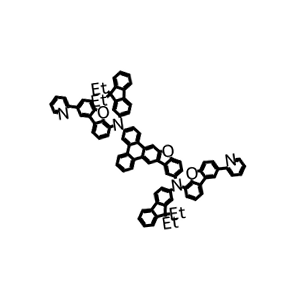 CCC1(CC)c2ccccc2-c2ccc(N(c3ccc4oc5cc6c7ccc(N(c8ccc9c(c8)C(CC)(CC)c8ccccc8-9)c8cccc9c8oc8ccc(-c%10ccccn%10)cc89)cc7c7ccccc7c6cc5c4c3)c3cccc4c3oc3ccc(-c5ccccn5)cc34)cc21